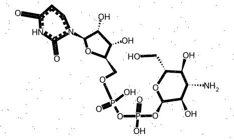 N[C@@H]1[C@@H](O)[C@@H](OP(=O)(O)OP(=O)(O)OC[C@H]2O[C@@H](n3ccc(=O)[nH]c3=O)[C@H](O)[C@@H]2O)O[C@H](CO)[C@H]1O